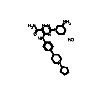 Cl.NC(=O)c1nnc(N2CCCC(N)C2)nc1Nc1ccc(C2CCN(C3CCCC3)CC2)cc1